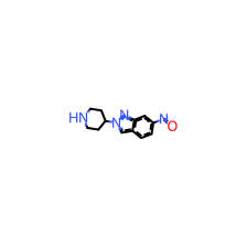 O=Nc1ccc2cn(C3CCNCC3)nc2c1